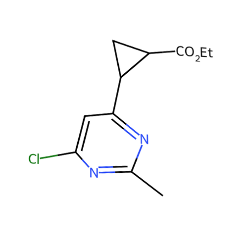 CCOC(=O)C1CC1c1cc(Cl)nc(C)n1